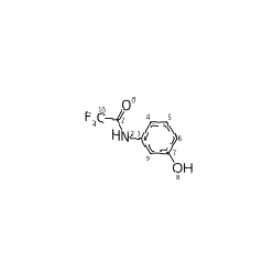 O=C(Nc1cccc(O)c1)C(F)(F)F